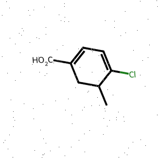 CC1CC(C(=O)O)=CC=C1Cl